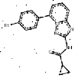 O=C(Nc1nc2cccc(-c3ccc(S)cc3)n2n1)C1CC1